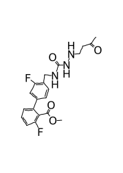 COC(=O)c1c(F)cccc1-c1ccc(CNC(=O)NNCCC(C)=O)c(F)c1